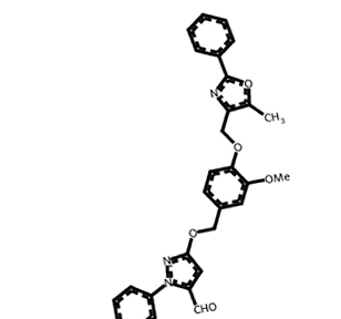 COc1cc(COc2cc(C=O)n(-c3ccccc3)n2)ccc1OCc1nc(-c2ccccc2)oc1C